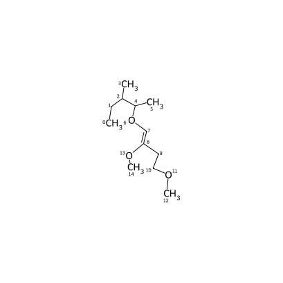 CCC(C)C(C)OC=C(CCOC)OC